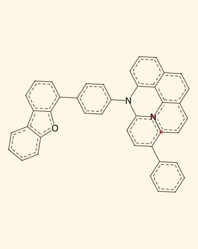 c1ccc(-c2ccc(N(c3ccc(-c4cccc5c4oc4ccccc45)cc3)c3cccc4ccc5cccnc5c34)cc2)cc1